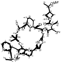 CCn1c(-c2cccnc2[C@H](C)OC)c2c3cc(ccc31)-c1csc(n1)C[C@H](NC(=O)C(C(C)C)N(C)C(=O)N1CC([C@@H](C)OC)C1)C(=O)N1CCC[C@H](N1)C(=O)OCC(C)(C)C2